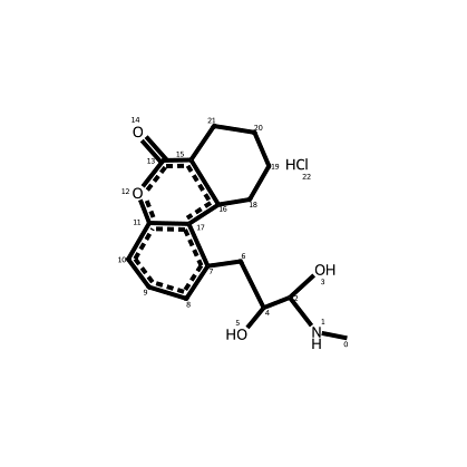 CNC(O)C(O)Cc1cccc2oc(=O)c3c(c12)CCCC3.Cl